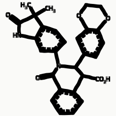 CC1(C)C(=O)Nc2cc(N3C(=O)c4ccccc4C(C(=O)O)C3c3ccc4c(c3)OCCO4)ccc21